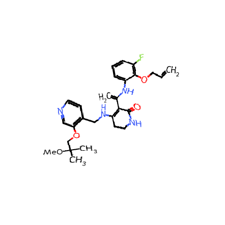 C=CCOc1c(F)cccc1NC(=C)C1=C(NCc2ccncc2OCC(C)(C)OC)CCNC1=O